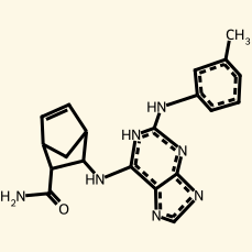 Cc1cccc(Nc2nc3ncnc-3c(NC3C4C=CC(C4)C3C(N)=O)[nH]2)c1